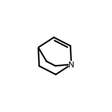 C1=CN2CCC1CC2